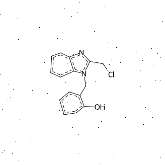 Oc1ccccc1Cn1c(CCl)nc2ccccc21